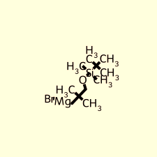 CC(C)(CO[Si](C)(C)C(C)(C)C)[CH2][Mg][Br]